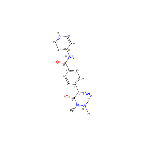 CCN(C(=O)C(N)c1ccc(C(=O)Nc2ccncc2)cc1)N(C)C